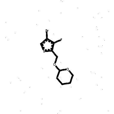 Fc1c(Br)csc1COC1CCCCO1